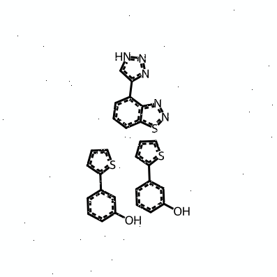 Oc1cccc(-c2cccs2)c1.Oc1cccc(-c2cccs2)c1.c1cc(-c2c[nH]nn2)c2nnsc2c1